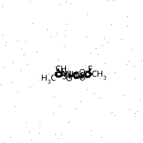 Cc1cc(C)c2nc(NC(=O)C3CCN(S(=O)(=O)c4ccc(C)c(F)c4)CC3)sc2c1